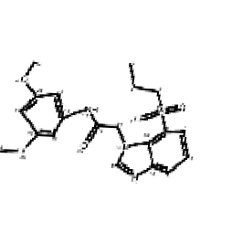 CCCS(=O)(=O)c1cccc2ncn(CC(=O)Nc3cc(OC)cc(OC)c3)c12